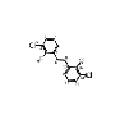 Fc1c(Cl)cccc1C[CH]c1cccc(Cl)c1Cl